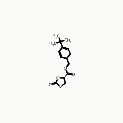 CC(C)(C)C1=CCC(COC(=O)[C@H]2COC(=O)O2)C=C1